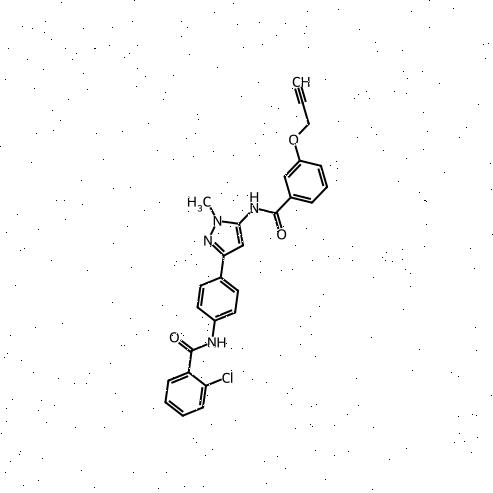 C#CCOc1cccc(C(=O)Nc2cc(-c3ccc(NC(=O)c4ccccc4Cl)cc3)nn2C)c1